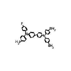 Bc1ccc(N(c2ccc(B)cc2)c2ccc(-c3ccc(N(c4ccc(F)cc4)c4ccc(P)cc4)cc3)cc2)cc1